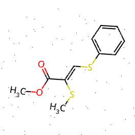 COC(=O)/C(=C/Sc1ccccc1)SC